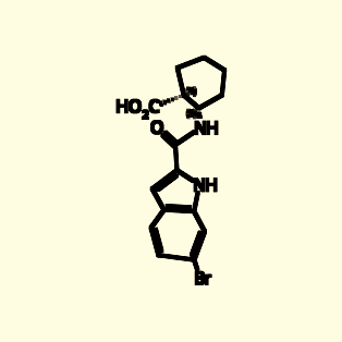 O=C(N[C@H]1CCCC[C@H]1C(=O)O)c1cc2ccc(Br)cc2[nH]1